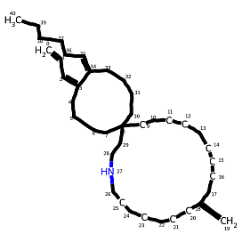 C=C/C=C1/CCCCC2(CCCCCCCCCC(=C)CCCCCCCNCC2)CCCC/C1=C/CCCCC